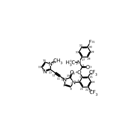 CN(C(=O)Oc1c(-n2ccn(C#Cc3nccn3C)c2=O)cc(C(F)(F)F)cc1C(F)(F)F)c1ccc(F)cc1